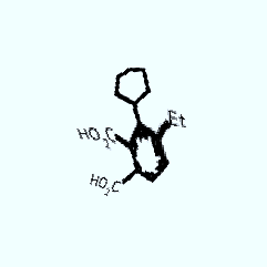 CCc1ccc(C(=O)O)c(C(=O)O)c1C1CCCCC1